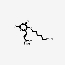 CCCCC[C@H](O)C=Cc1oc(C)cc(=O)c1OCCCCCC(=O)OCC